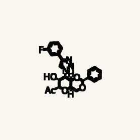 CC(=O)[C@@H]1O[C@@H]2CO[C@H](c3ccccc3)O[C@@H]2[C@H](n2cc(-c3cccc(F)c3)nn2)[C@H]1O